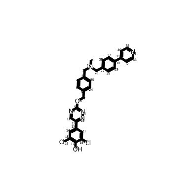 CN(Cc1ccc(COc2ncc(-c3cc(Cl)c(O)c(Cl)c3)nn2)cc1)Cc1ccc(-c2ccncc2)cc1